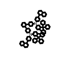 c1ccc(C2(c3ccccc3)c3ccccc3-c3ccc(N(c4ccc(-c5ccccc5-c5ccc(N(c6ccc(-c7cccc8ccccc78)cc6)c6ccc7c(c6)C(c6ccccc6)(c6ccccc6)c6ccccc6-7)cc5)cc4)c4ccc(-c5cccc6ccccc56)cc4)cc32)cc1